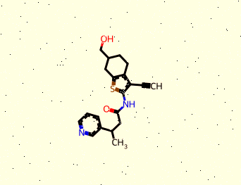 C#Cc1c(NC(=O)CC(C)c2cccnc2)sc2c1CCC(CO)C2